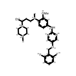 CCC(CCN(C)c1ccc(Nc2ncc(OCc3c(F)cccc3F)cn2)cc1OC)N1CCN(C)CC1